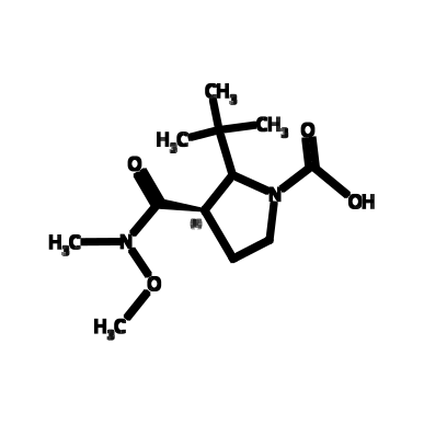 CON(C)C(=O)[C@@H]1CCN(C(=O)O)C1C(C)(C)C